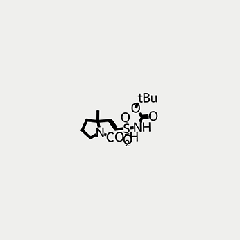 CC(C)(C)OC(=O)NS(=O)(=O)C=CC1(C)CCCN1C(=O)O